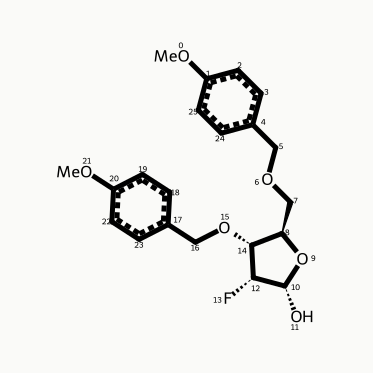 COc1ccc(COC[C@H]2O[C@H](O)[C@H](F)[C@@H]2OCc2ccc(OC)cc2)cc1